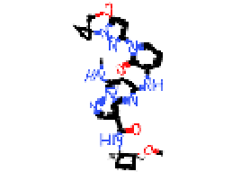 CNc1cc(Nc2cccn(-c3cc4n(n3)C3(CC3)CO4)c2=O)nc2c(C(=O)N[C@@H]3CC[C@H]3OC)cnn12